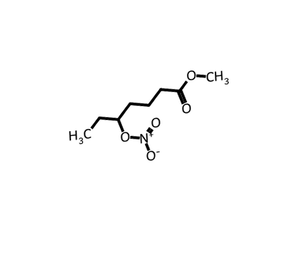 CCC(CCCC(=O)OC)O[N+](=O)[O-]